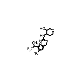 CC(c1c(C#N)cc2cnc(NC3CCOCC3O)nn12)C(F)(F)F